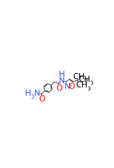 CC(C)(C)c1cc(NC(=O)Cc2ccc(C(N)=O)cc2)no1